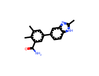 Cc1nc2cc(-c3cc(C)c(C)c(C(N)=O)c3)ccc2[nH]1